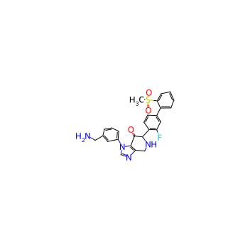 CS(=O)(=O)c1ccccc1-c1ccc(C2NCc3ncn(-c4cccc(CN)c4)c3C2=O)c(F)c1